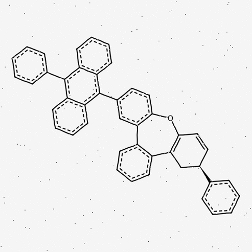 C1=C[C@@H](c2ccccc2)CC2=C1Oc1ccc(-c3c4ccccc4c(-c4ccccc4)c4ccccc34)cc1-c1ccccc12